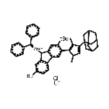 CC1=C(c2cc3c(cc2C(C)(C)C)[CH]([Zr+2]=[C](c2ccccc2)c2ccccc2)c2cc(C(C)(C)C)ccc2-3)C(C)C=C1C12CC3CC(CC(C3)C1)C2.[Cl-].[Cl-]